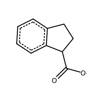 [O]C(=O)C1CCc2ccccc21